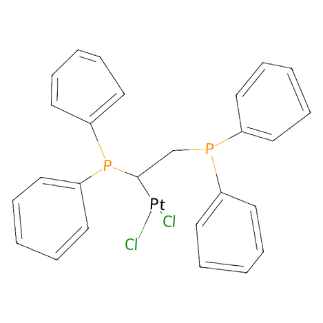 [Cl][Pt]([Cl])[CH](CP(c1ccccc1)c1ccccc1)P(c1ccccc1)c1ccccc1